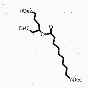 CCCCCCCCCCCCCCCCCCC(=O)OC(CC=O)CCCCCCCCCCCCC